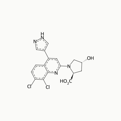 O=C(O)[C@@H]1C[C@@H](O)CN1c1cc(-c2cn[nH]c2)c2ccc(Cl)c(Cl)c2n1